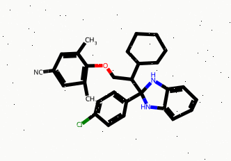 Cc1cc(C#N)cc(C)c1OCC(C1CCCCC1)C1(c2ccc(Cl)cc2)Nc2ccccc2N1